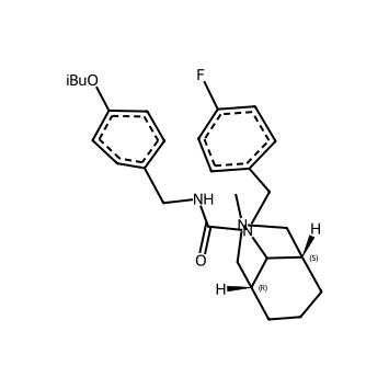 CC(C)COc1ccc(CNC(=O)N(Cc2ccc(F)cc2)C2[C@@H]3CCC[C@H]2CN(C)C3)cc1